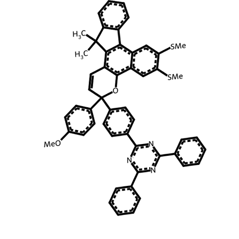 COc1ccc(C2(c3ccc(-c4nc(-c5ccccc5)nc(-c5ccccc5)n4)cc3)C=Cc3c4c(c5cc(SC)c(SC)cc5c3O2)-c2ccccc2C4(C)C)cc1